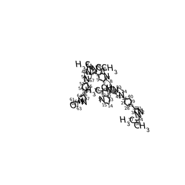 Cc1nc(-c2ccc(Cc3nc(-c4cccnc4C(C)C)c4n3CCN(c3ccc(-c5cnn(CC(C)C)c5)cc3)C4)nc2C(C)C)c2n1CCN(c1ccc(-c3cnn(C4COC4)c3)cc1)C2